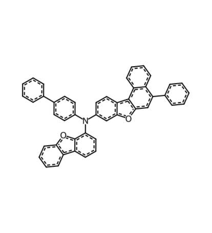 c1ccc(-c2ccc(N(c3ccc4c(c3)oc3cc(-c5ccccc5)c5ccccc5c34)c3cccc4c3oc3ccccc34)cc2)cc1